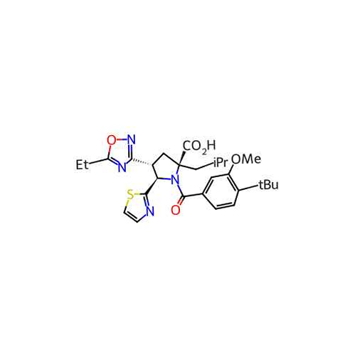 CCc1nc([C@@H]2C[C@@](CC(C)C)(C(=O)O)N(C(=O)c3ccc(C(C)(C)C)c(OC)c3)[C@H]2c2nccs2)no1